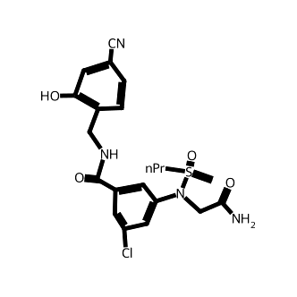 C=S(=O)(CCC)N(CC(N)=O)c1cc(Cl)cc(C(=O)NCc2ccc(C#N)cc2O)c1